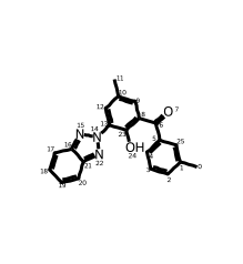 Cc1cccc(C(=O)c2cc(C)cc(-n3nc4ccccc4n3)c2O)c1